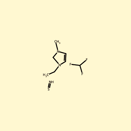 CCN1C=CN(C)C1.FC(F)F.N=S